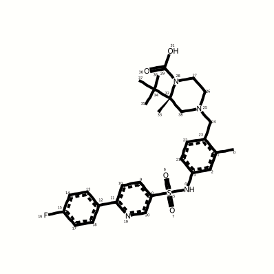 Cc1cc(NS(=O)(=O)c2ccc(-c3ccc(F)cc3)nc2)ccc1CN1CCN(C(=O)O)[C@@](C)(C(C)(C)C)C1